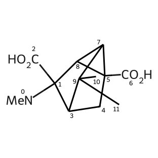 CNC1(C(=O)O)C2CC3(C(=O)O)C(C31)C2(C)C